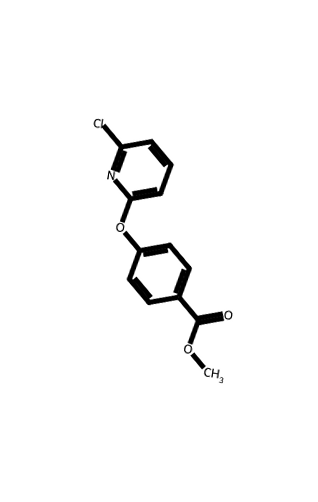 COC(=O)c1ccc(Oc2cccc(Cl)n2)cc1